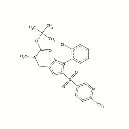 Cc1ccc(S(=O)(=O)c2cc(CN(C)C(=O)OC(C)(C)C)nn2-c2ccccc2Cl)cn1